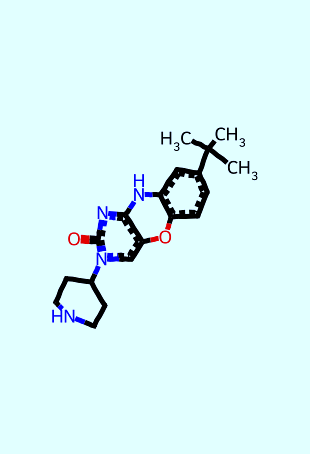 CC(C)(C)c1ccc2c(c1)Nc1nc(=O)n(C3CCNCC3)cc1O2